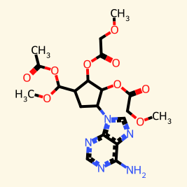 COCC(=O)OC1C(C(OC)OC(C)=O)CC(n2cnc3c(N)ncnc32)C1OC(=O)COC